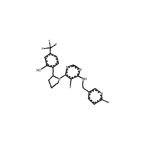 Cc1ccc(CNc2ncnc(N3CCCC3c3ccc(C(F)(F)F)cc3O)c2F)cn1